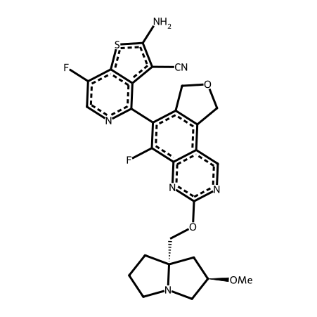 CO[C@H]1CN2CCC[C@@]2(COc2ncc3c4c(c(-c5ncc(F)c6sc(N)c(C#N)c56)c(F)c3n2)COC4)C1